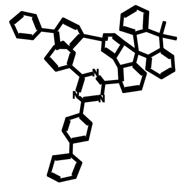 CC1(C)c2ccccc2C2(c3ccc(-c4ccc(-c5ccccc5)cc4)cc3-c3c(-c4nc(-c5ccccc5)nc(-c5ccc(-c6ccccc6)cc5)n4)cccc32)c2ccccc21